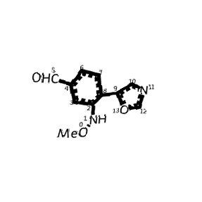 CONc1cc(C=O)ccc1-c1cnco1